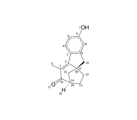 CC1=C2c3ccc(O)cc3C[C@]23CC[C@H](C3)C1=O